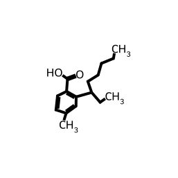 CCCCCC(CC)c1cc(C)ccc1C(=O)O